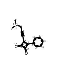 C[SiH](C)CC#Cc1c(-c2ccccc2)c(=O)c1=O